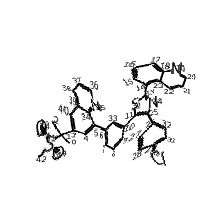 CC(C)(c1cc(-c2cccc(-c3sc(-c4cccc5ncccc45)nc3-c3ccc(Cl)cc3)c2)c2ncccc2c1)S(C)(=O)=O